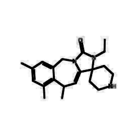 CCN1C(=O)N2Cc3cc(C)cc(C)c3C(C)C=C2C12CCNCC2